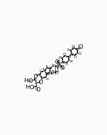 O=C(O)C(Oc1ccc2cc(CNS(=O)(=O)c3ccc(-c4ccc(Cl)cc4)cc3)[nH]c2c1)C(=O)O